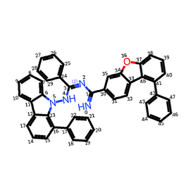 N=C(/N=C(\Nn1c2ccccc2c2cccc(-c3ccccc3)c21)c1ccccc1)c1ccc2c(c1)oc1cccc(-c3ccccc3)c12